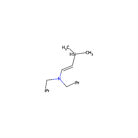 CC(C)CN(C=C[SiH](C)C)CC(C)C